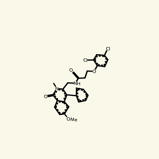 COc1ccc2c(=O)n(C)c(CNC(=O)CCOc3ccc(Cl)cc3Cl)c(-c3ccccc3)c2c1